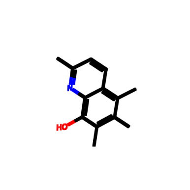 Cc1ccc2c(C)c(C)c(C)c(O)c2n1